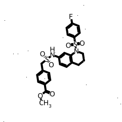 COC(=O)c1ccc(CS(=O)(=O)Nc2ccc3c(c2)N(S(=O)(=O)c2ccc(F)cc2)CCC3)cc1